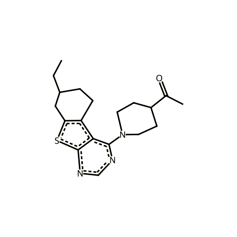 CCC1CCc2c(sc3ncnc(N4CCC(C(C)=O)CC4)c23)C1